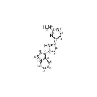 Nc1nccc(-c2ccc(-c3csc4ccccc34)[nH]2)n1